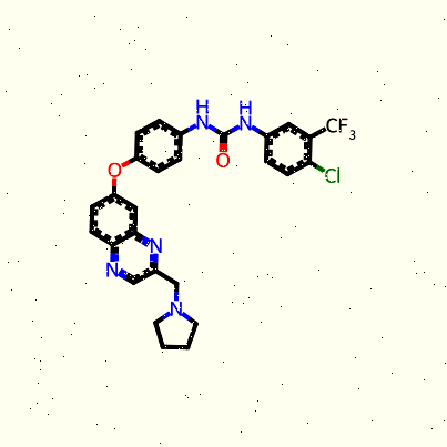 O=C(Nc1ccc(Oc2ccc3ncc(CN4CCCC4)nc3c2)cc1)Nc1ccc(Cl)c(C(F)(F)F)c1